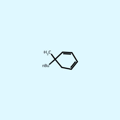 [CH2]C1(CCCC)C=CC=CC1